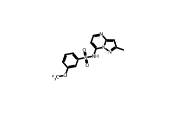 Cc1cc2nccc(NS(=O)(=O)c3cccc(OC(F)(F)F)c3)n2n1